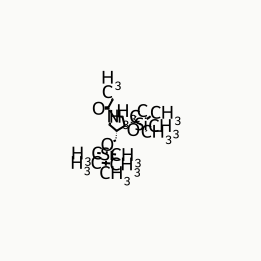 CCC(=O)N1C[C@@H](CO[Si](C)(C)C(C)(C)C)[C@@H](O[Si](C)(C)C(C)(C)C)C1